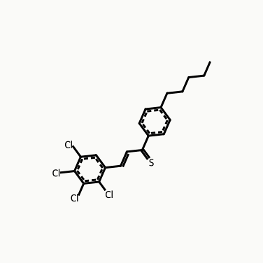 CCCCCc1ccc(C(=S)C=Cc2cc(Cl)c(Cl)c(Cl)c2Cl)cc1